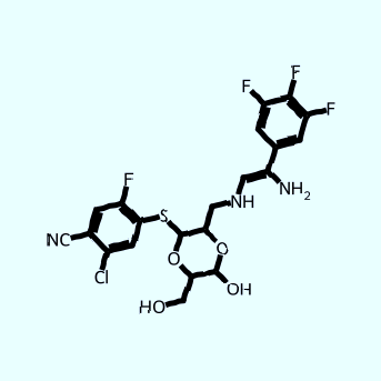 N#Cc1cc(F)c(SC2OC(CO)C(O)OC2CN/C=C(\N)c2cc(F)c(F)c(F)c2)cc1Cl